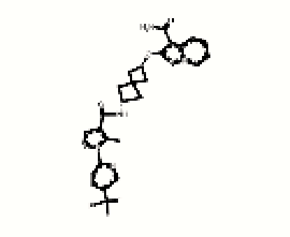 Cc1c(C(=O)N[C@H]2CC3(C2)C[C@H](Oc2nn4ccccc4c2C(N)=O)C3)cnn1-c1ccc(C(F)(F)F)cn1